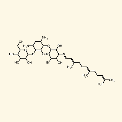 CCC1OC(OC2C(N)CC(N)C(OC3OC(CO)C(O)C(O)C3O)C2O)C(O)C(/N=C/C=C(\C)CC/C=C(\C)CCC=C(C)C)C1O